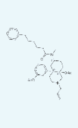 C=CCN1CC[C@@]2(c3cccc(OC(C)=O)c3)C[C@H](N(C)C(=O)CCCCCc3ccccc3)CC[C@]2(OC(C)=O)C1